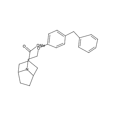 COC(=O)C1CC2CCC(C1)N2CCOc1ccc(Cc2ccccc2)cc1